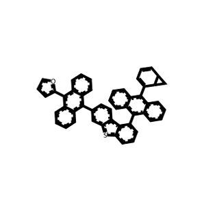 C1=CC2CC2C(c2c3ccccc3c(-c3cccc4sc5cc(-c6c7ccccc7c(-c7ccco7)c7ccccc67)ccc5c34)c3ccccc23)=C1